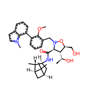 COc1c(CN2O[C@@H](CO)[C@H]([C@H](C)O)[C@H]2C(=O)N[C@H]2C[C@H]3C[C@@H]([C@@H]2C)C3(C)C)cccc1-c1cccc2ccn(C)c12